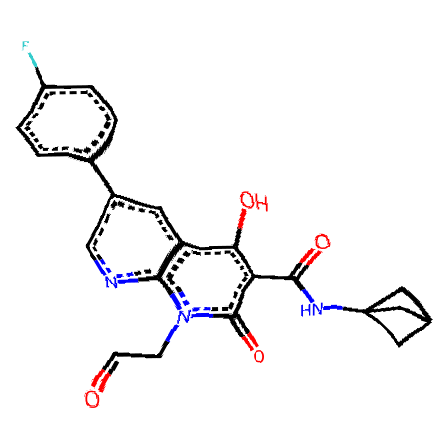 O=CCn1c(=O)c(C(=O)NC23CC(C2)C3)c(O)c2cc(-c3ccc(F)cc3)cnc21